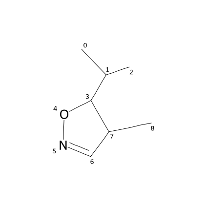 CC(C)C1ON=CC1C